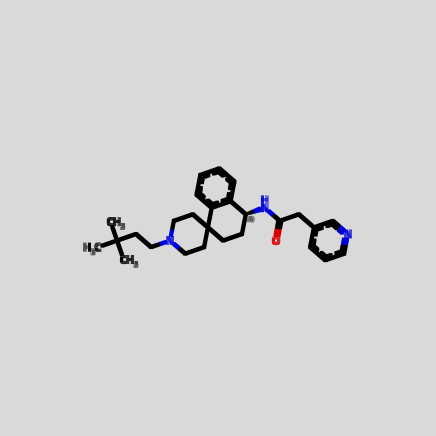 CC(C)(C)CCN1CCC2(CC[C@H](NC(=O)Cc3cccnc3)c3ccccc32)CC1